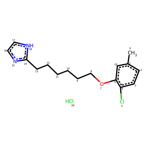 Cc1ccc(Cl)c(OCCCCCCc2ncc[nH]2)c1.Cl